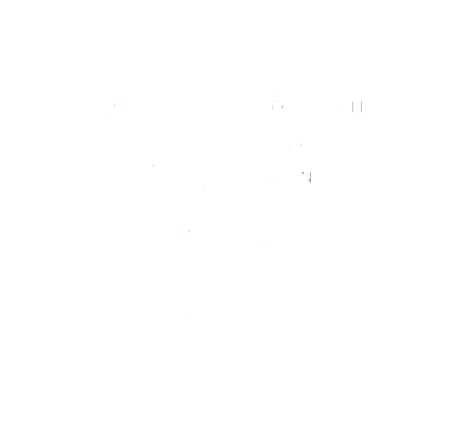 CCOCCCO[C@@H](c1ccccc1)C1CCCN(C(=O)O)C1